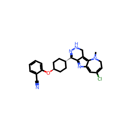 CN1CC=C(Cl)C=C2N=C3C(=C21)CNN=C3[C@H]1CC[C@H](Oc2ccccc2C#N)CC1